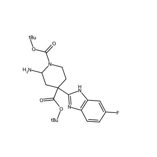 CC(C)(C)OC(=O)N1CCC(C(=O)OC(C)(C)C)(c2nc3ccc(F)cc3[nH]2)CC1N